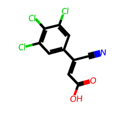 N#CC(=CC(=O)O)c1cc(Cl)c(Cl)c(Cl)c1